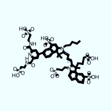 CCCCCN1/C(=C/C=C/C2=[N+](CCCS(=O)(=O)[O-])c3ccc4ccc(S(=O)(=O)O)cc4c3C2(C)CCCS(=O)(=O)O)C(C)(C)c2c1cc(S(=O)(=O)O)c1cc(-c3cc(C(=O)NCCS(=O)(=O)O)nc(C(=O)NCCS(=O)(=O)O)c3)ccc21